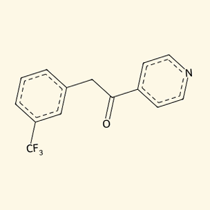 O=C(Cc1cccc(C(F)(F)F)c1)c1ccncc1